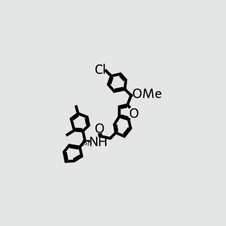 COC(c1ccc(Cl)cc1)c1cc2cc(CC(=O)N[C@@H](c3ccccc3)c3ccc(C)cc3C)ccc2o1